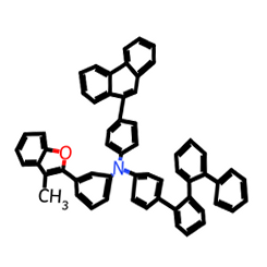 Cc1c(-c2cccc(N(c3ccc(-c4ccccc4-c4ccccc4-c4ccccc4)cc3)c3ccc(-c4cc5ccccc5c5ccccc45)cc3)c2)oc2ccccc12